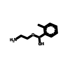 Cc1ccccc1B(O)OCCN